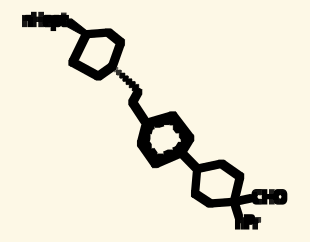 CCCCCCC[C@H]1CC[C@H](CCc2ccc(C3CCC(C=O)(CCC)CC3)cc2)CC1